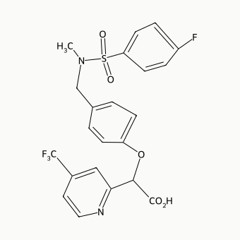 CN(Cc1ccc(OC(C(=O)O)c2cc(C(F)(F)F)ccn2)cc1)S(=O)(=O)c1ccc(F)cc1